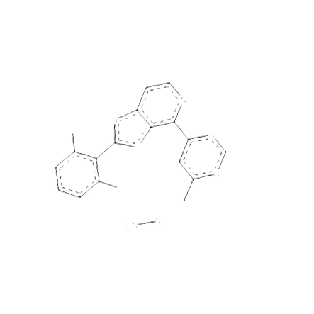 Cc1cc(-c2nccc3nc(-c4c(F)cccc4Cl)sc23)ncn1.NN